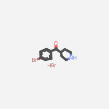 Br.O=C(c1ccc(Br)cc1)C1CCNCC1